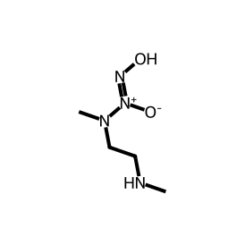 CNCCN(C)[N+]([O-])=NO